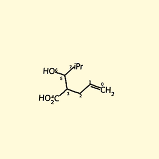 C=CCC(C(=O)O)C(O)C(C)C